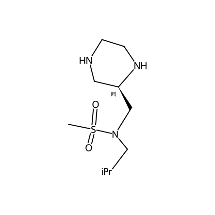 CC(C)CN(C[C@H]1CNCCN1)S(C)(=O)=O